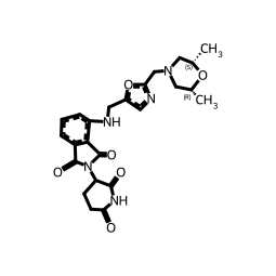 C[C@@H]1CN(Cc2ncc(CNc3cccc4c3C(=O)N(C3CCC(=O)NC3=O)C4=O)o2)C[C@H](C)O1